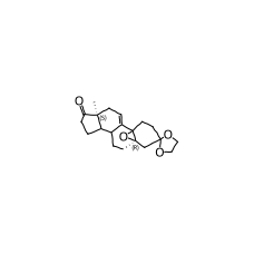 C[C@]12CC=C3C(CC[C@@]45CC6(CCC34O5)OCCO6)C1CCC2=O